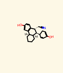 N#CC[C@H]1c2ccc(O)cc2[C@@H]2CCCC[C@@H]2[C@@H]1C1C=CC(O)=CC1